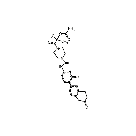 CC(C)(OC(N)=O)C(=O)N1CCN(C(=O)Nc2ccn(-c3ccc4c(c3)CCC(=O)C4)c(=O)n2)CC1